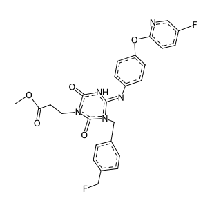 COC(=O)CCn1c(=O)[nH]/c(=N\c2ccc(Oc3ccc(F)cn3)cc2)n(Cc2ccc(CF)cc2)c1=O